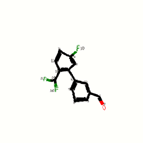 O=Cc1cccc(-c2cc(F)ccc2C(F)F)c1